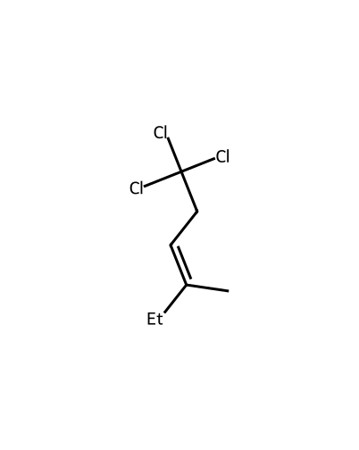 CCC(C)=CCC(Cl)(Cl)Cl